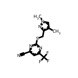 Cc1cn(C)nc1CSc1nc(C#N)cc(C(F)(F)F)n1